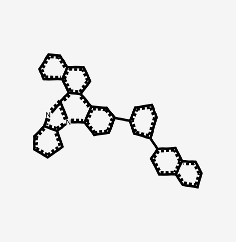 c1cc(-c2ccc3ccccc3c2)cc(-c2ccc3c(c2)c2ccc4ccccc4c2c2nc4ccccc4n32)c1